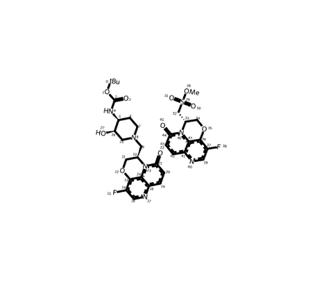 CC(C)(C)OC(=O)N[C@H]1CCN(C[C@@H]2COc3c(F)cnc4ccc(=O)n2c34)C[C@H]1O.COS(=O)(=O)C[C@@H]1COc2c(F)cnc3ccc(=O)n1c23